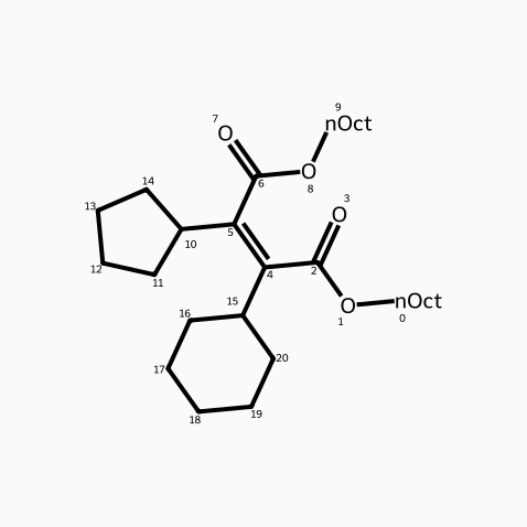 CCCCCCCCOC(=O)C(=C(C(=O)OCCCCCCCC)C1CCCC1)C1CCCCC1